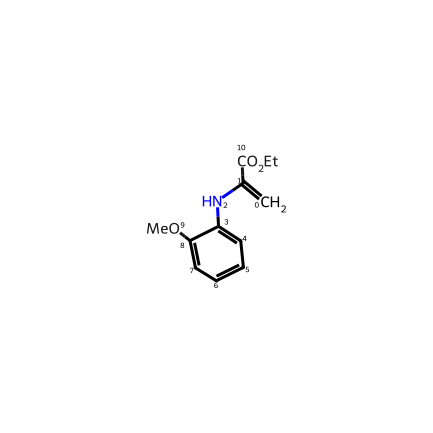 C=C(Nc1ccccc1OC)C(=O)OCC